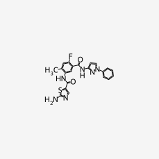 Cc1cc(F)c(C(=O)Nc2ccn(-c3ccccc3)n2)cc1NC(=O)c1cnc(N)s1